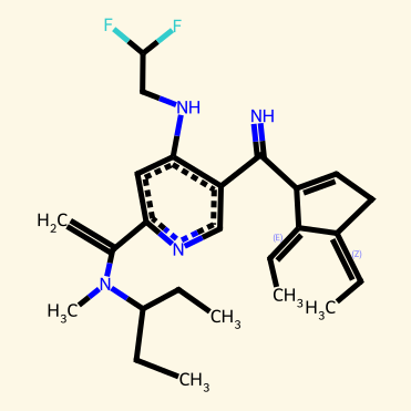 C=C(c1cc(NCC(F)F)c(C(=N)C2=CCC(=C/C)/C2=C\C)cn1)N(C)C(CC)CC